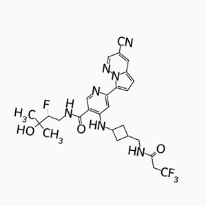 CC(C)(O)[C@H](F)CNC(=O)c1cnc(-c2ccc3cc(C#N)cnn23)cc1NC1CC(CNC(=O)CC(F)(F)F)C1